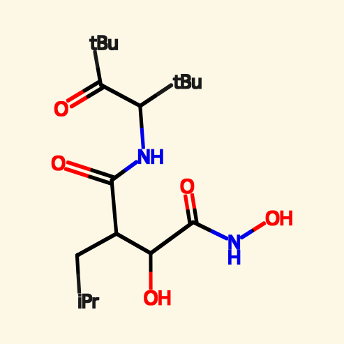 CC(C)CC(C(=O)NC(C(=O)C(C)(C)C)C(C)(C)C)C(O)C(=O)NO